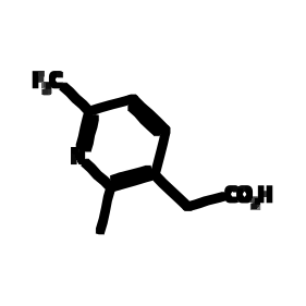 Cc1nc(C(F)(F)F)ccc1CC(=O)O